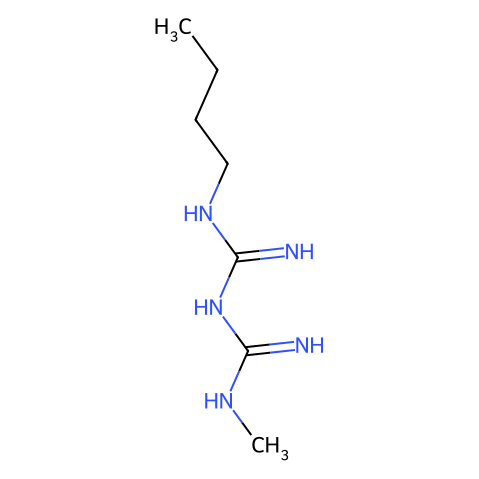 CCCCNC(=N)NC(=N)NC